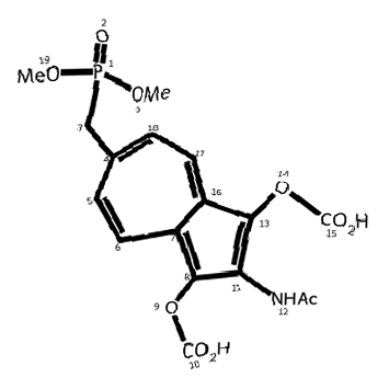 COP(=O)(Cc1ccc2c(OC(=O)O)c(NC(C)=O)c(OC(=O)O)c-2cc1)OC